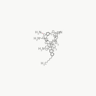 CCCCCCc1ccc2nc(C)c(C(=O)N[C@@H](CCN)C(=O)N(C)[C@@H]3C(=O)N[C@@H](C)C(=O)N[C@H](C(=O)NCC#N)Cc4ccc(OCCN)c(c4)-c4cc3ccc4OCCN)cc2c1